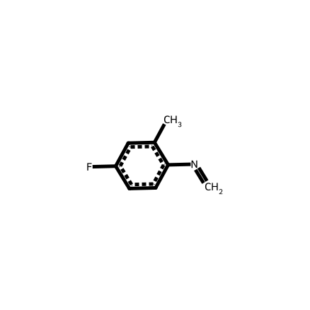 C=Nc1ccc(F)cc1C